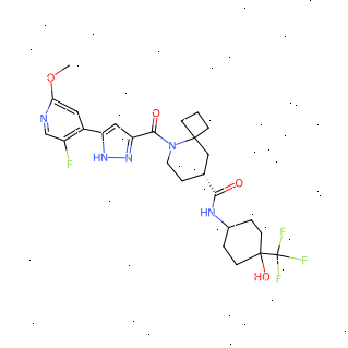 COc1cc(-c2cc(C(=O)N3CC[C@@H](C(=O)NC4CCC(O)(C(F)(F)F)CC4)CC34CCC4)n[nH]2)c(F)cn1